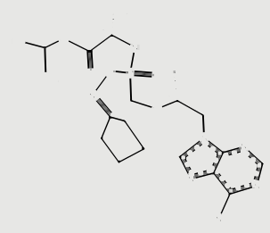 CC(C)OC(=O)[C@H](C)NP(=O)(CO[C@H](C)Cn1cnc2c(N)ncnc21)ON=C1CCCC1